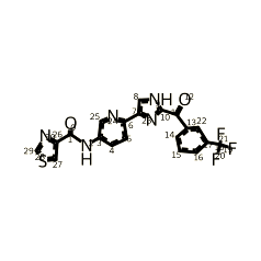 O=C(Nc1ccc(-c2c[nH]c(C(=O)c3cccc(C(F)(F)F)c3)n2)nc1)c1cscn1